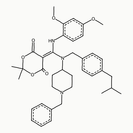 COc1ccc(NC(=C2C(=O)OC(C)(C)OC2=O)N(Cc2ccc(CC(C)C)cc2)C2CCN(Cc3ccccc3)CC2)c(OC)c1